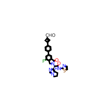 O=CC12CC(c3ccc(-c4cc(F)c5c(c4)C(=O)N([C@@H](C(=O)Nc4nccs4)c4ncn6c4CCC6)C5)cc3)(C1)C2